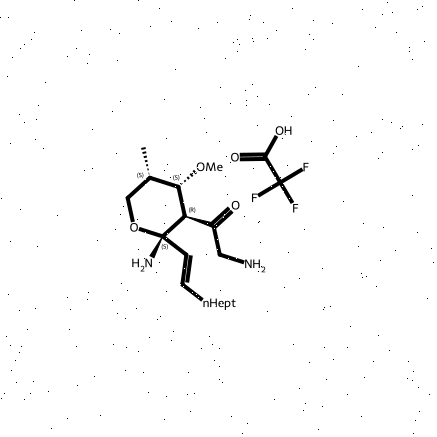 CCCCCCCC=C[C@]1(N)OC[C@H](C)[C@H](OC)[C@H]1C(=O)CN.O=C(O)C(F)(F)F